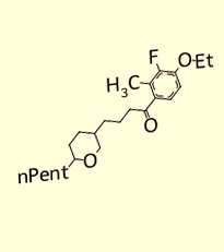 CCCCCC1CCC(CCCC(=O)c2ccc(OCC)c(F)c2C)CO1